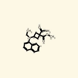 CCN(c1cccc2ccccc12)C1CC(C(N)=O)(C(=O)OC)C1